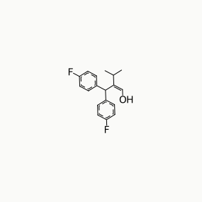 CC(C)/C(=C/O)C(c1ccc(F)cc1)c1ccc(F)cc1